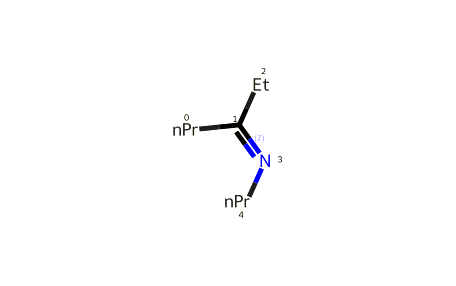 [CH2]CC/C(CC)=N\CCC